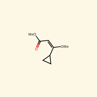 COC(=O)/C=C(/OC)C1CC1